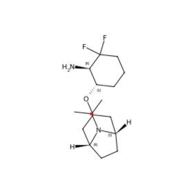 CC(C)N1[C@@H]2CC[C@H]1CC(O[C@H]1CCCC(F)(F)[C@@H]1N)C2